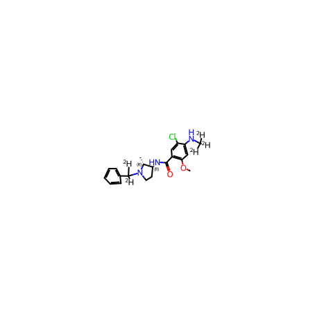 [2H]C([2H])([2H])Nc1cc(OC)c(C(=O)N[C@@H]2CCN(C([2H])([2H])c3ccccc3)[C@@H]2C)cc1Cl